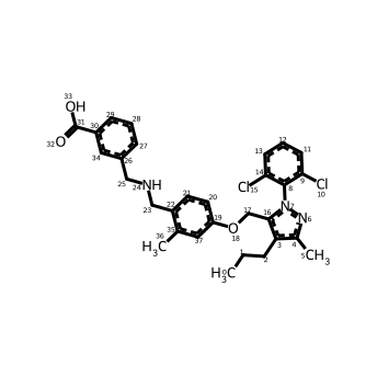 CCCc1c(C)nn(-c2c(Cl)cccc2Cl)c1COc1ccc(CNCc2cccc(C(=O)O)c2)c(C)c1